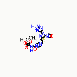 CC(C)Oc1c(NCC(=O)N2CCN(Cc3cc4nc(-c5cnc(N)nc5)nc(N5CCOCC5)c4s3)CC2)c(=O)c1=O